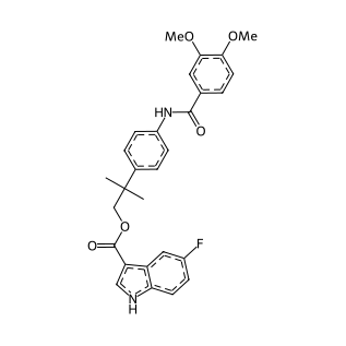 COc1ccc(C(=O)Nc2ccc(C(C)(C)COC(=O)c3c[nH]c4ccc(F)cc34)cc2)cc1OC